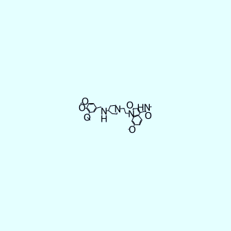 CNC(=O)c1cc(=O)n(CCN2CCC(NCc3cc(OC)c4c(c3)OCO4)CC2)c2cc(OC)ccc12